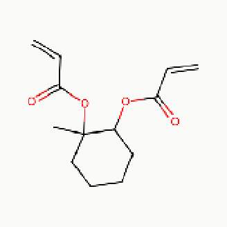 C=CC(=O)OC1CCCCC1(C)OC(=O)C=C